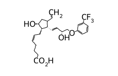 C=CC1C[C@H](O)[C@H](C/C=C\CCCC(=O)O)[C@H]1/C=C/[C@@H](O)COc1cccc(C(F)(F)F)c1